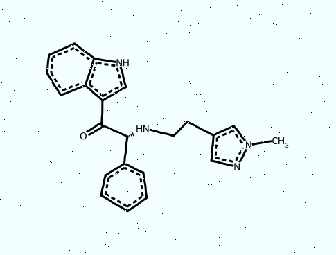 Cn1cc(CCN[C@@H](C(=O)c2c[nH]c3ccccc23)c2ccccc2)cn1